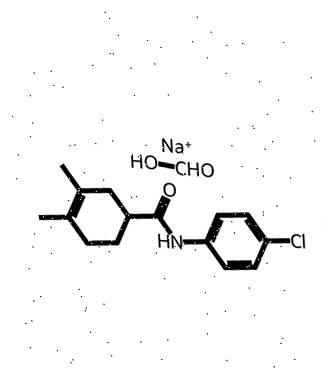 CC1=C(C)CC(C(=O)Nc2ccc(Cl)cc2)CC1.O=[C-]O.[Na+]